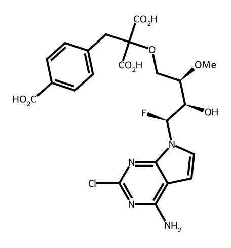 CO[C@H](COC(Cc1ccc(C(=O)O)cc1)(C(=O)O)C(=O)O)[C@@H](O)[C@H](F)n1ccc2c(N)nc(Cl)nc21